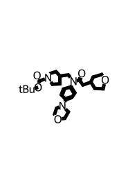 CC(C)(C)OC(=O)N1CCC(CN(C(=O)CC2CCOCC2)c2ccc(N3CCOCC3)cc2)CC1